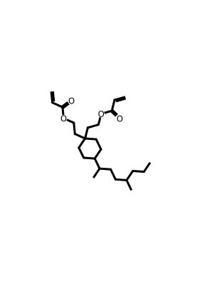 C=CC(=O)OCCC1(CCOC(=O)C=C)CCC(C(C)CCC(C)CCC)CC1